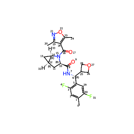 Cc1cc(F)c([C@H](NC(=O)[C@H]2C[C@H]3C[C@H]3N2C(=O)c2c(C)noc2C)C2COC2)cc1F